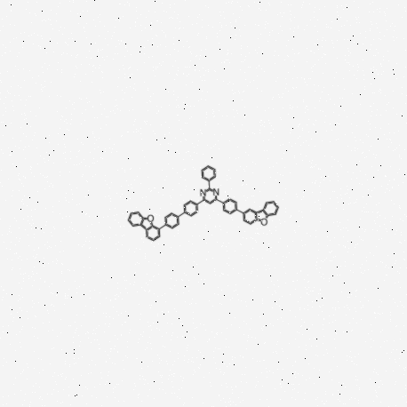 c1ccc(-c2nc(-c3ccc(-c4ccc(-c5cccc6c5oc5ccccc56)cc4)cc3)cc(-c3ccc(-c4ccc5oc6ccccc6c5c4)cc3)n2)cc1